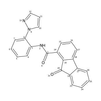 O=C(Nc1ccccc1-n1cccn1)c1cccc2c1C(=O)c1ccccc1-2